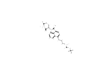 CC(C)(C)OC(=O)NCCCc1ccc2c3c(cccc13)N(C1CCC(=O)NC1=O)C2=O